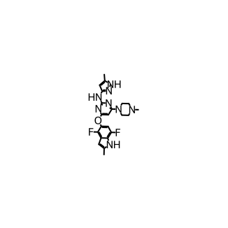 Cc1cc(Nc2nc(Oc3cc(F)c4[nH]c(C)cc4c3F)cc(N3CCN(C)CC3)n2)n[nH]1